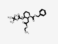 CCOC(=O)CC1C(NC(=O)OC(C)(C)C)CCCN1C(=O)OCc1ccccc1